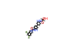 CC(C)(O)C(=O)NC1CCC(c2ccc(NC(=O)N3Cc4cc(F)cc(F)c4C3)cc2)CC1